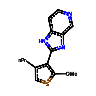 CCCc1csc(OC)c1-c1nc2cnccc2[nH]1